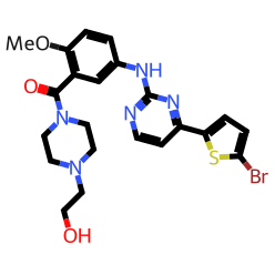 COc1ccc(Nc2nccc(-c3ccc(Br)s3)n2)cc1C(=O)N1CCN(CCO)CC1